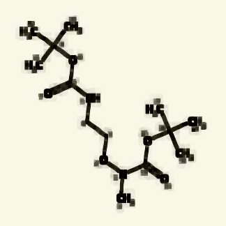 CN(OCCNC(=O)OC(C)(C)C)C(=O)OC(C)(C)C